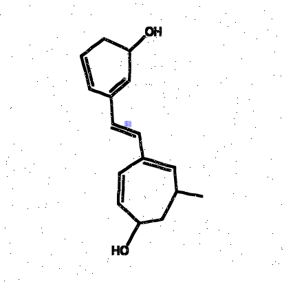 CC1C=C(/C=C/C2=CC(O)CC=C2)C=CC(O)C1